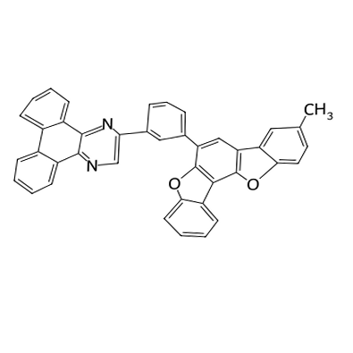 Cc1ccc2oc3c(cc(-c4cccc(-c5cnc6c7ccccc7c7ccccc7c6n5)c4)c4oc5ccccc5c43)c2c1